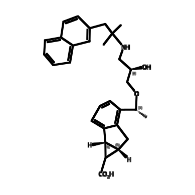 C[C@@H](OC[C@H](O)CNC(C)(C)Cc1ccc2ccccc2c1)c1cccc2c1C[C@@H]1C(C(=O)O)[C@H]21